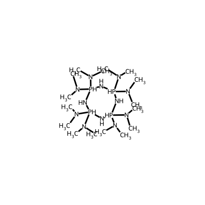 CN(C)[PH]1(N(C)C)N[PH](N(C)C)(N(C)C)N[PH](N(C)C)(N(C)C)N[PH](N(C)C)(N(C)C)N1